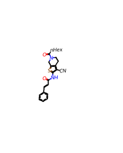 CCCCCCC(=O)N1CCc2c(sc(NC(=O)/C=C/c3ccccc3)c2C#N)C1